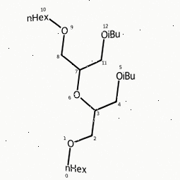 CCCCCCOCC(COCC(C)C)OC(COCCCCCC)COCC(C)C